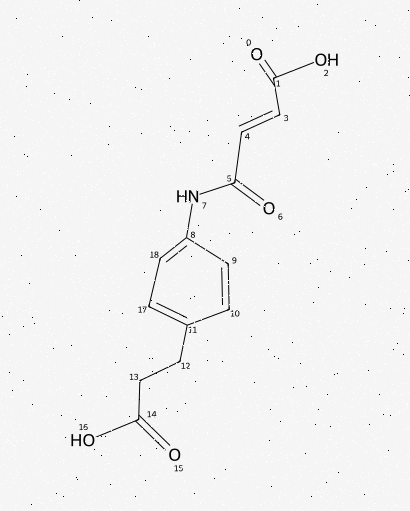 O=C(O)C=CC(=O)Nc1ccc(CCC(=O)O)cc1